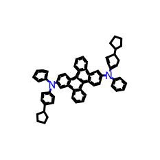 C1=CC(C2CCCC2)CC=C1N(c1ccccc1)c1ccc2c(c1)c1ccccc1c1c3ccc(N(c4ccccc4)c4ccc(C5CCCC5)cc4)cc3c3ccccc3c21